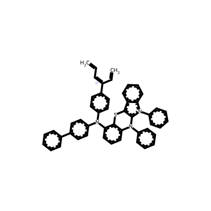 C=C/C=C(\C=C)c1ccc(N(c2ccc(-c3ccccc3)cc2)c2cccc3c2Sc2c(n(-c4ccccc4)c4ccccc24)N3c2ccccc2)cc1